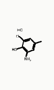 Cc1cc(N)c(O)c(Cl)c1.Cl